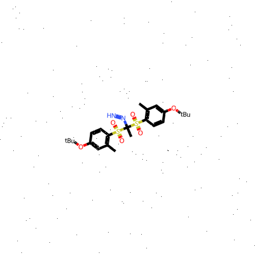 Cc1cc(OC(C)(C)C)ccc1S(=O)(=O)C(C)(N=N)S(=O)(=O)c1ccc(OC(C)(C)C)cc1C